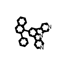 c1ccc(-c2ccc3ccccc3c2-c2cc3c4ccncc4n4c5cnccc5c(c2)c34)cc1